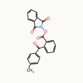 Cc1ccc(C(=O)c2ccccc2C(=O)ON2C(=O)c3ccccc3C2=O)cc1